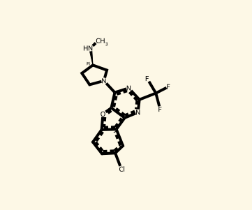 CN[C@@H]1CCN(c2nc(C(F)(F)F)nc3c2oc2ccc(Cl)cc23)C1